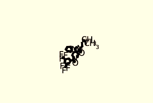 CN(C)CCN1CN(c2ccccc2)C2(CCN(C(=O)c3cc(C(F)(F)F)cc(C(F)(F)F)c3)CC2)C1=O